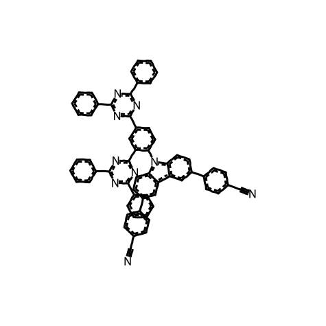 N#Cc1ccc(-c2ccc3c(c2)c2cc(-c4ccc(C#N)cc4)ccc2n3-c2ccc(-c3nc(-c4ccccc4)nc(-c4ccccc4)n3)cc2-c2nc(-c3ccccc3)nc(-c3ccccc3)n2)cc1